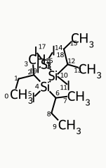 CCC(C)[Si](I)(C(C)CC)[Si](I)(C(C)CC)[Si](I)(I)I